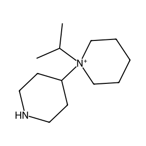 CC(C)[N+]1(C2CCNCC2)CCCCC1